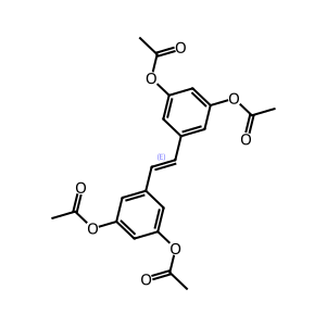 CC(=O)Oc1cc(/C=C/c2cc(OC(C)=O)cc(OC(C)=O)c2)cc(OC(C)=O)c1